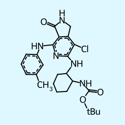 Cc1cccc(Nc2nc(NC3CCCCC3NC(=O)OC(C)(C)C)c(Cl)c3c2C(=O)NC3)c1